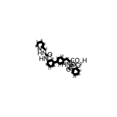 O=C(NCc1ccccn1)Nc1cccc(-c2ccc(C[C@H](NS(=O)(=O)c3ccccc3Cl)C(=O)O)cc2)c1